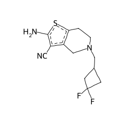 N#Cc1c(N)sc2c1CN(CC1CC(F)(F)C1)CC2